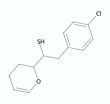 SC(Cc1ccc(Cl)cc1)C1CCC=CO1